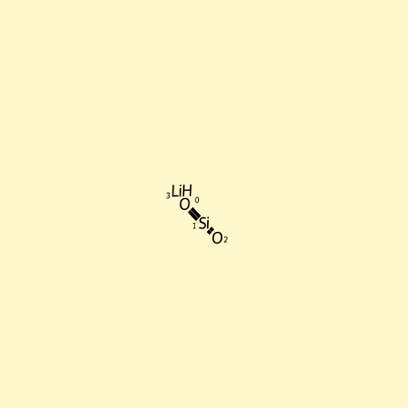 O=[Si]=O.[LiH]